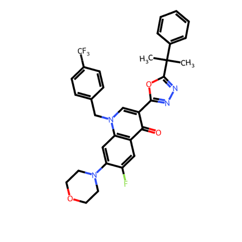 CC(C)(c1ccccc1)c1nnc(-c2cn(Cc3ccc(C(F)(F)F)cc3)c3cc(N4CCOCC4)c(F)cc3c2=O)o1